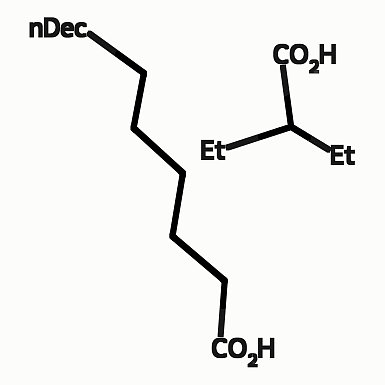 CCC(CC)C(=O)O.CCCCCCCCCCCCCCCC(=O)O